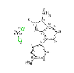 CC1=Cc2c(-c3ccc(C(C)(C)C)cc3)cccc2C1[SiH3].[Cl][Zr][Cl]